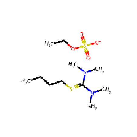 CCCC[S+]=C(N(C)C)N(C)C.CCOS(=O)(=O)[O-]